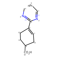 CCC/C=N\C(=N/C)C1=CCC(C(=O)O)CC1